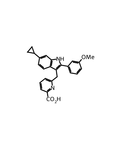 COc1cccc(-c2[nH]c3cc(C4CC4)ccc3c2Cc2cccc(C(=O)O)n2)c1